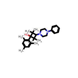 Cc1cc(C)c(C2(O)C(C)(C)C(N3CCN(c4ccccc4)CC3)C2(C)C)c(C)c1